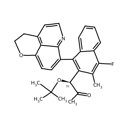 CC(=O)[C@@H](OC(C)(C)C)c1c(C)c(F)c2ccccc2c1-c1ccc2c3c(ccnc13)CCO2